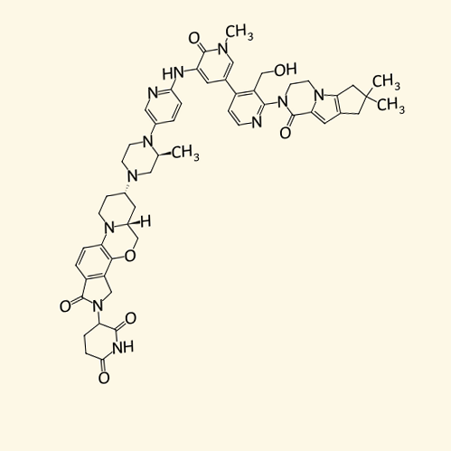 C[C@H]1CN([C@H]2CCN3c4ccc5c(c4OC[C@H]3C2)CN(C2CCC(=O)NC2=O)C5=O)CCN1c1ccc(Nc2cc(-c3ccnc(N4CCn5c(cc6c5CC(C)(C)C6)C4=O)c3CO)cn(C)c2=O)nc1